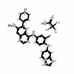 COc1cc2ncnc(Nc3ccc(Oc4ccn5ncnc5c4)c(C)c3)c2nc1C1=CCNCC1.O=C(O)C(F)(F)F